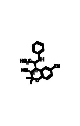 CC1(C)Oc2ccc(C#N)cc2[C@H](C(Nc2ccccc2)C(=O)O)[C@H]1O